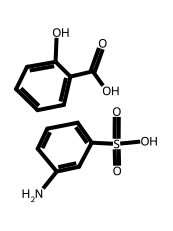 Nc1cccc(S(=O)(=O)O)c1.O=C(O)c1ccccc1O